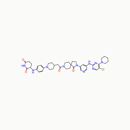 O=C1CCC(Nc2ccc(N3CCC(CC(=O)N4CCC5(CC4)CCN(c4cncc(Nc6ncc(Cl)c(N7CCCCC7)n6)c4)C5=O)CC3)cc2)C(=O)N1